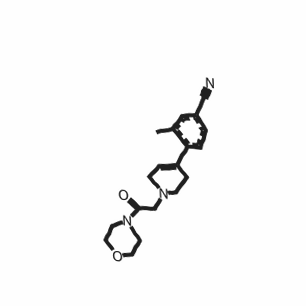 Cc1cc(C#N)ccc1C1=CCN(CC(=O)N2CCOCC2)CC1